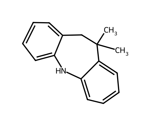 CC1(C)Cc2ccccc2Nc2ccccc21